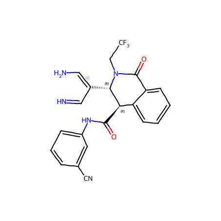 N#Cc1cccc(NC(=O)[C@@H]2c3ccccc3C(=O)N(CC(F)(F)F)[C@H]2/C(C=N)=C/N)c1